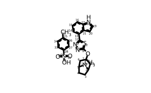 CN1C2CCC1CC(Oc1nnc(-c3cccc4[nH]ccc34)s1)C2.Cc1ccc(S(=O)(=O)O)cc1